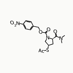 CC(=O)S[C@@H]1C[C@H](C(=O)N(C)C)N(C(=O)OCc2ccc([N+](=O)[O-])cc2)C1